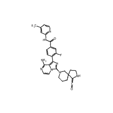 Nc1nccn2c(N3CCCC4(CCNC4=C=O)C3)nc(-c3ccc(C(=O)Nc4cc(C(F)(F)F)ccn4)cc3F)c12